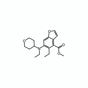 CCc1c(N(CC)C2CCOCC2)cc2occc2c1C(=O)OC